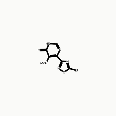 CCc1nc(-c2nc[nH]c(=O)c2OC)no1